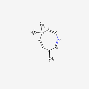 CC1/C=C\C(C)(C)/C=C\N=C/1